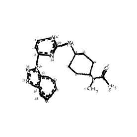 CC(=O)N(C)C1CCC(Nc2nccc(-n3nnc4ccccc43)n2)CC1